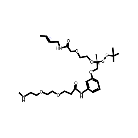 C/C=C/CNC(=O)COCCO[C@@](C)(COc1cccc(NC(=O)CCOCCOCCNC)c1)SSC(C)(C)C